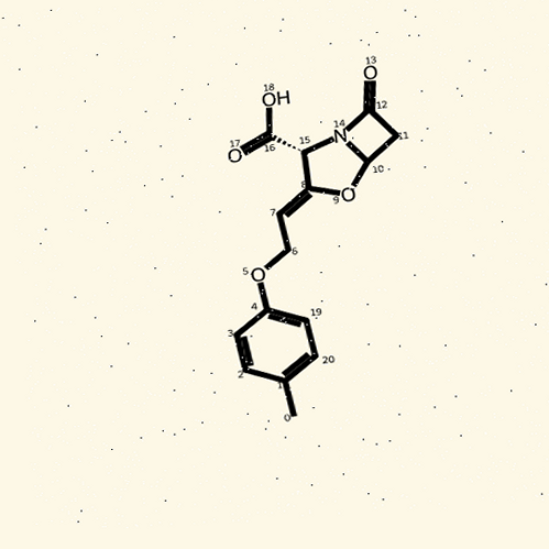 Cc1ccc(OC/C=C2\OC3CC(=O)N3[C@H]2C(=O)O)cc1